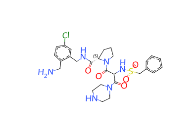 NCc1ccc(Cl)cc1CNC(=O)[C@@H]1CCCN1C(=O)C(NS(=O)(=O)Cc1ccccc1)C(=O)N1CCNCC1